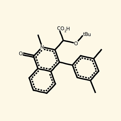 Cc1cc(C)cc(-c2c(C(OC(C)(C)C)C(=O)O)n(C)c(=O)c3ccccc23)c1